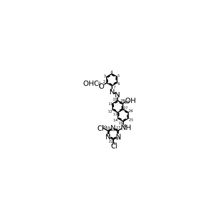 O=COc1ccccc1/N=N/c1ccc2cc(Nc3nc(Cl)nc(Cl)n3)ccc2c1O